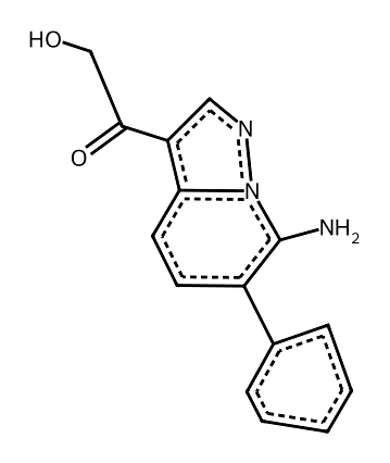 Nc1c(-c2ccccc2)ccc2c(C(=O)CO)cnn12